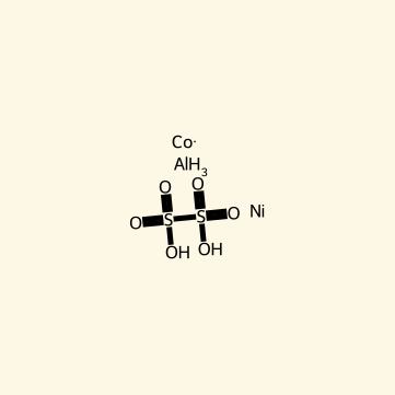 O=S(=O)(O)S(=O)(=O)O.[AlH3].[Co].[Ni]